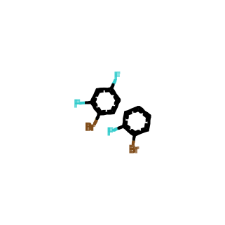 Fc1ccc(Br)c(F)c1.Fc1ccccc1Br